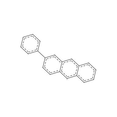 [c]1c2ccccc2cc2cc(-c3ccccc3)ccc12